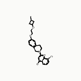 CC1CC(OCCOc2ccc3c(c2)CCN(c2cc(=O)c4cccc(Cl)c4o2)C3)C1